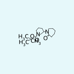 CC(C)(C)OC(=O)N1CCC[C@@H](N2CCCCCC2=O)C1